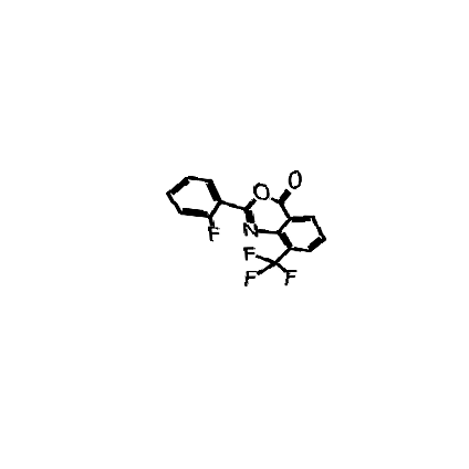 O=c1oc(-c2ccccc2F)nc2c(C(F)(F)F)cccc12